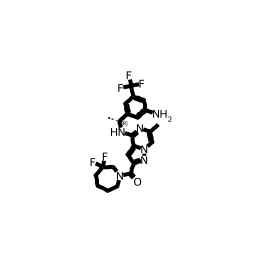 Cc1cn2nc(C(=O)N3CCCCC(F)(F)C3)cc2c(N[C@H](C)c2cc(N)cc(C(F)(F)F)c2)n1